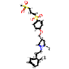 C[C@@H]1C[C@H](COc2ccc(S(=O)(=O)CCCS(C)(=O)=O)cc2)CN1CCc1ccccc1C#N